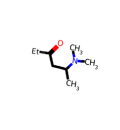 CCC(=O)CC(C)N(C)C